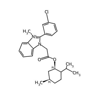 CC(C)C1CC[C@@H](C)C[C@H]1OC(=O)Cn1c(-c2cccc(Cl)c2)[n+](C)c2ccccc21